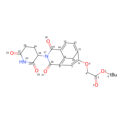 CC(C)(C)OC(=O)COC1=CC2=C3CC1=CC=C3C(=O)N(C1CCC(=O)NC1=O)C2=O